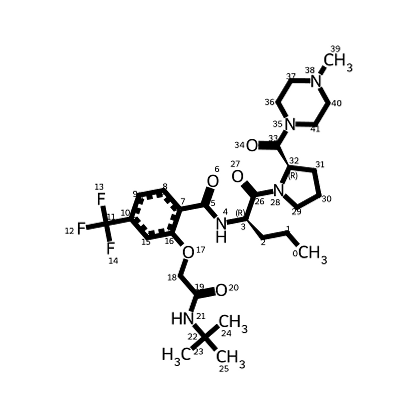 CCC[C@@H](NC(=O)c1ccc(C(F)(F)F)cc1OCC(=O)NC(C)(C)C)C(=O)N1CCC[C@@H]1C(=O)N1CCN(C)CC1